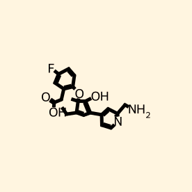 CCC1=CC(c2ccnc(CN)c2)=C(O)C1(C)Oc1ccc(F)cc1CC(=O)O